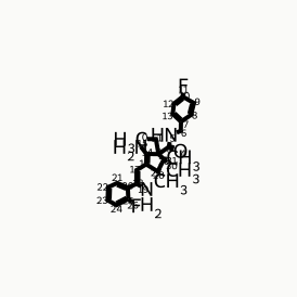 CCC1(C(=O)NCc2ccc(F)cc2)C(N)=C(/C=C(\N)c2ccccc2F)[C@H](C)C1(C)C